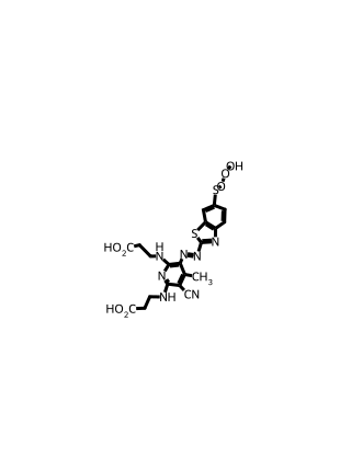 Cc1c(C#N)c(NCCC(=O)O)nc(NCCC(=O)O)c1N=Nc1nc2ccc(SOOO)cc2s1